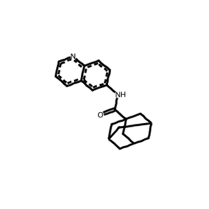 O=C(Nc1ccc2ncccc2c1)C12CC3CC(CC(C3)C1)C2